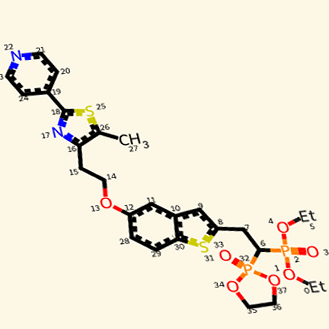 CCOP(=O)(OCC)C(Cc1cc2cc(OCCc3nc(-c4ccncc4)sc3C)ccc2s1)P1(=O)OCCO1